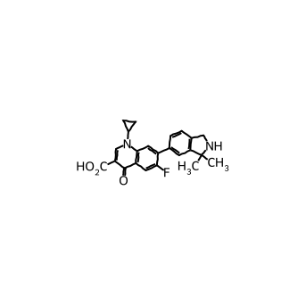 CC1(C)NCc2ccc(-c3cc4c(cc3F)c(=O)c(C(=O)O)cn4C3CC3)cc21